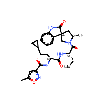 Cc1cc(C(=O)N[C@@H](CCC2CC2)C(=O)N[C@@H](CC(C)(C)C)C(=O)N2C[C@]3(C[C@H]2C#N)C(=O)Nc2ccccc23)no1